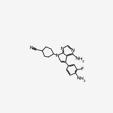 N#CC1CCC(n2cc(-c3ccc(N)c(F)c3)c3c(N)ncnc32)CC1